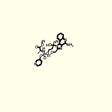 CCCC(O)(CCO[P@](=O)(N[C@@H](C)C(=O)OC(C)C)Oc1cccnc1)n1c(COCC)nc2c(N)nc3ccccc3c21